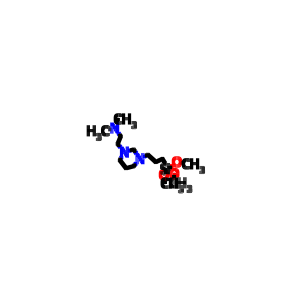 CO[Si](CCCN1CCCN(CCN(C)C)C1)(OC)OC